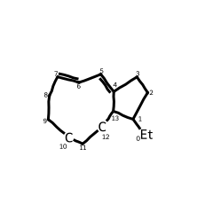 CCC1CC/C2=C/C=C/CCCCCC21